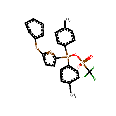 Cc1ccc(S(OS(=O)(=O)C(F)(F)F)(c2ccc(C)cc2)c2ccc(Sc3ccccc3)s2)cc1